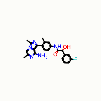 Cc1cn2c(C)nc(-c3ccc(NC(=O)C(O)c4cccc(F)c4)cc3C)c2c(N)n1